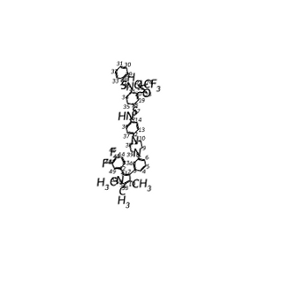 Cc1c(-c2cccc(N3CCN(c4ccc(NSC5C=C(S(=O)(=O)C(F)(F)F)C(NSc6ccccc6)CC5)cc4)CC3)c2)c(-c2ccc(F)c(F)c2)n(C)c1C